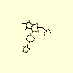 CCN(CC)Cc1nc(N2CCN(c3nccs3)CC2)c2c(C)c(C)sc2n1